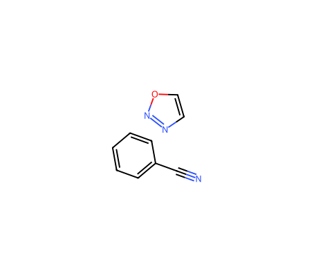 N#Cc1ccccc1.c1conn1